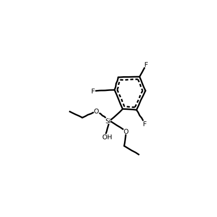 CCO[Si](O)(OCC)c1c(F)cc(F)cc1F